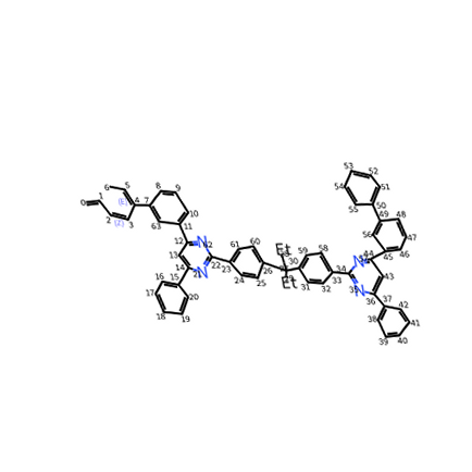 C=C/C=C\C(=C/C)c1cccc(-c2cc(-c3ccccc3)nc(-c3ccc(C(CC)(CC)c4ccc(-c5nc(-c6ccccc6)cc(-c6cccc(-c7ccccc7)c6)n5)cc4)cc3)n2)c1